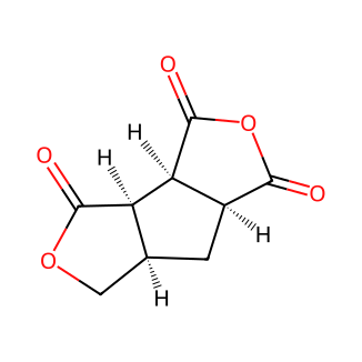 O=C1OC[C@@H]2C[C@@H]3C(=O)OC(=O)[C@@H]3[C@H]12